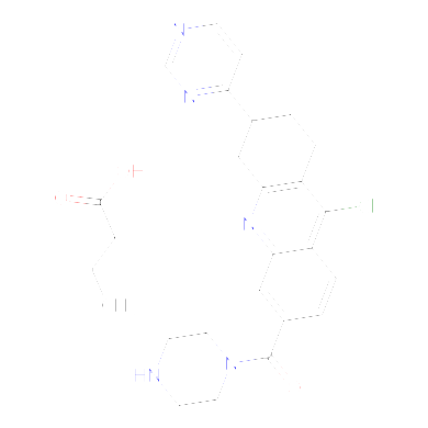 CCCC(=O)O.O=C(c1ccc2c(Cl)c3c(nc2c1)CC(c1ccncn1)CC3)N1CCNCC1